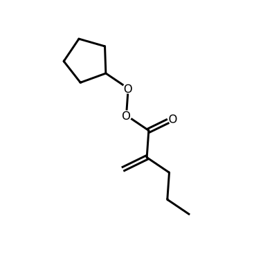 C=C(CCC)C(=O)OOC1CCCC1